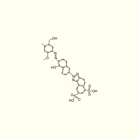 COc1cc(C)c(CO)cc1N=Nc1ccc2cc(-n3nc4ccc5c(S(=O)(=O)O)cc(S(=O)(=O)O)cc5c4n3)ccc2c1O